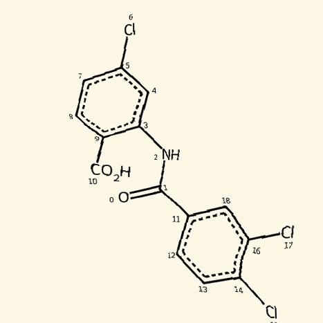 O=C(Nc1cc(Cl)ccc1C(=O)O)c1ccc(Cl)c(Cl)c1